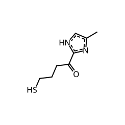 Cc1c[nH]c(C(=O)CCCS)n1